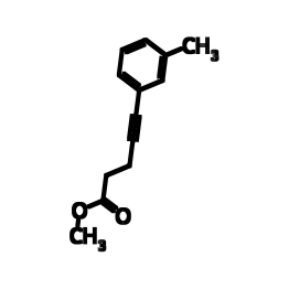 COC(=O)CCC#Cc1cccc(C)c1